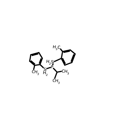 Cc1ccccc1[SiH2]P([SiH2]c1ccccc1C)C(C)C